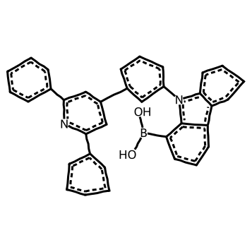 OB(O)c1cccc2c3ccccc3n(-c3cccc(-c4cc(-c5ccccc5)nc(-c5ccccc5)c4)c3)c12